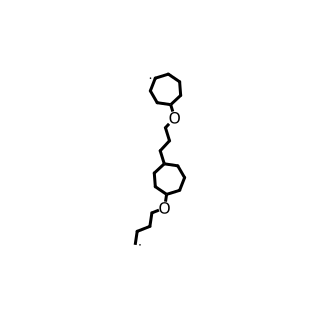 [CH2]CCCOC1CCCC(CCCOC2CC[CH]CCC2)CC1